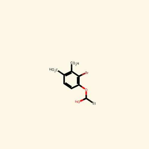 CCC(O)Oc1ccc(C(=O)O)c(C(=O)O)c1Br